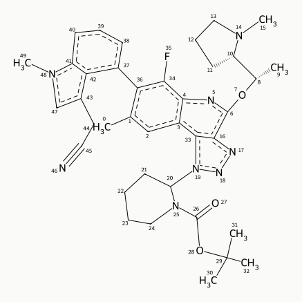 Cc1cc2c(nc(O[C@@H](C)[C@@H]3CCCN3C)c3nnn(C4CCCCN4C(=O)OC(C)(C)C)c32)c(F)c1-c1cccc2c1c(CC#N)cn2C